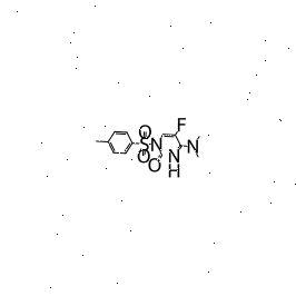 Cc1ccc(S(=O)(=O)N(C=O)/C=C(/F)C(=N)N(C)C)cc1